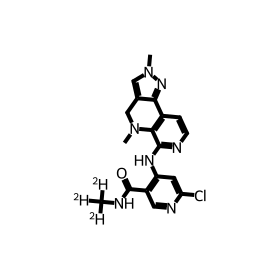 [2H]C([2H])([2H])NC(=O)c1cnc(Cl)cc1Nc1nccc2c1N(C)Cc1cn(C)nc1-2